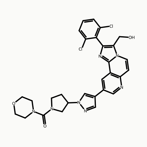 O=C(N1CCOCC1)N1CCC(n2cc(-c3cnc4ccn5c(CO)c(-c6c(Cl)cccc6Cl)nc5c4c3)cn2)C1